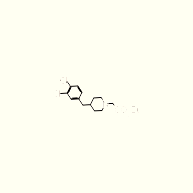 CCOC(=O)CN1CCC(Cc2ccc(Cl)c(Cl)c2)CC1